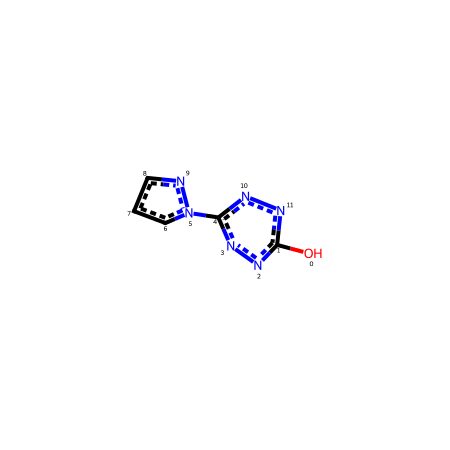 Oc1nnc(-n2cccn2)nn1